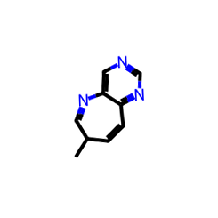 CC1C=Cc2ncncc2N=C1